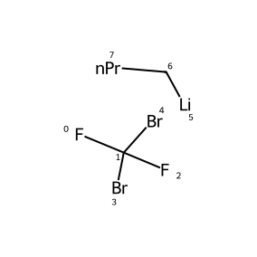 FC(F)(Br)Br.[Li][CH2]CCC